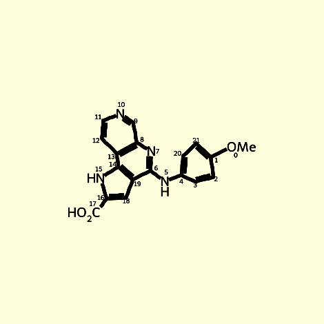 COc1ccc(Nc2nc3cnccc3c3[nH]c(C(=O)O)cc23)cc1